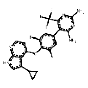 Nc1nc(N)c(-c2cc(F)c(Oc3ccnc4[nH]cc(C5CC5)c34)c(F)c2)c(C(F)(F)F)n1